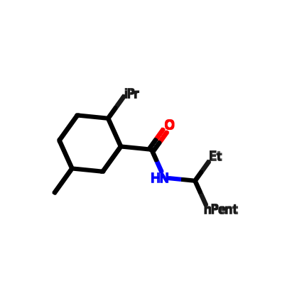 CCCCCC(CC)NC(=O)C1CC(C)CCC1C(C)C